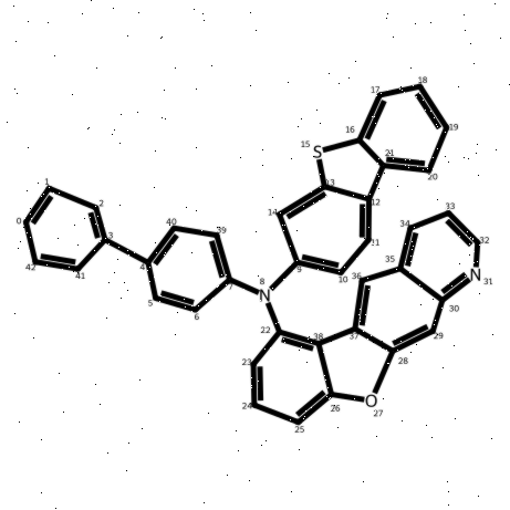 c1ccc(-c2ccc(N(c3ccc4c(c3)sc3ccccc34)c3cccc4oc5cc6ncccc6cc5c34)cc2)cc1